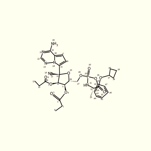 CCC(=O)O[C@H]1[C@@H](OC(=O)CC)[C@](C#N)(c2ccc3c(N)ncnn23)O[C@@H]1COP(=O)(N[C@@H](C)C(=O)OC1CCC1)Oc1ccccc1